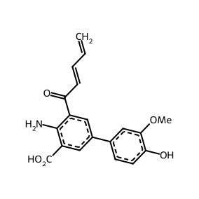 C=CC=CC(=O)c1cc(-c2ccc(O)c(OC)c2)cc(C(=O)O)c1N